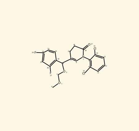 COCOC(C1=CN(c2c(Cl)cccc2Cl)C(=O)CC1)c1ccc(F)cc1F